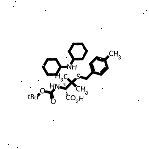 C1CCC(NC2CCCCC2)CC1.Cc1ccc(CSC(C)(C)[C@@H](NC(=O)OC(C)(C)C)C(=O)O)cc1